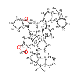 CC1(C)c2ccccc2-c2c(-c3cccc(C4(c5cccc(-c6cccc7c6-c6ccccc6C7(C)C)c5)c5cc6c(cc5-c5c4ccc4oc7ccccc7c54)OCO6)c3)cccc21